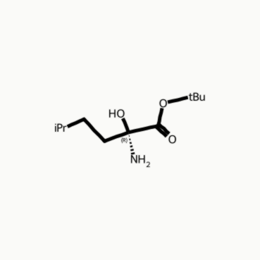 CC(C)CC[C@@](N)(O)C(=O)OC(C)(C)C